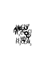 Cc1nc(F)ccc1[C@@H](c1cn(C2(C(F)(F)F)CC2)nn1)N(C)c1cc(Cl)c2ncc(C#N)c(NCC(C)(C)C)c2c1